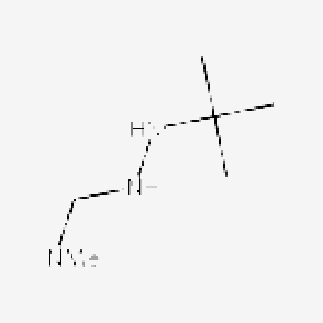 CNCNNC(C)(C)C